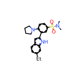 CCc1ccc2cc(-c3cc(S(=O)(=O)N(C)C)ccc3N3CCCC3)[nH]c2c1